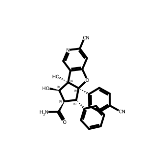 N#Cc1ccc([C@@]23Oc4cc(C#N)ncc4[C@]2(O)[C@H](O)[C@H](C(N)=O)[C@H]3c2ccccc2)cc1